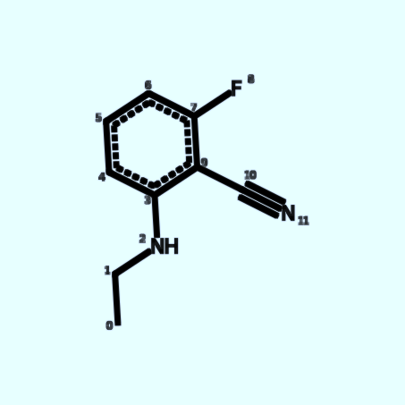 CCNc1cccc(F)c1C#N